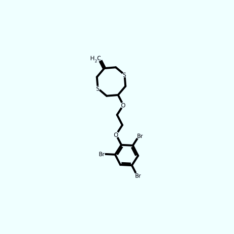 C=C1CSCC(OCCOc2c(Br)cc(Br)cc2Br)CSC1